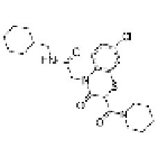 O=C(CN1C(=O)C(C(=O)N2CCCCC2)Sc2cc(Cl)ccc21)NCC1CCCCC1